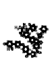 CC(C)n1cnc2cc(-c3ccc4c(c3)N(C3CC(N5CCCCC5)C3)C(=O)C43CCN(C(=O)[C@@H]4CCN(C(=O)C5CCC(Oc6ccc(C7CCC(=O)NC7=O)cn6)CC5)C4)CC3)nc(Nc3ccccc3F)c21